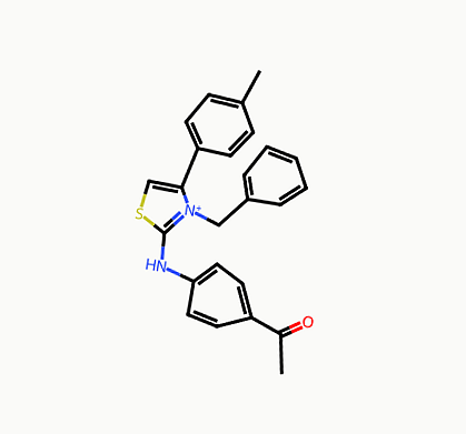 CC(=O)c1ccc(Nc2scc(-c3ccc(C)cc3)[n+]2Cc2ccccc2)cc1